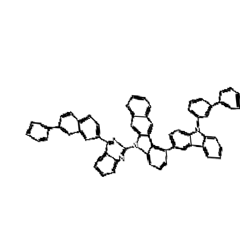 c1ccc(-c2cccc(-n3c4ccccc4c4cc(-c5cccc6c5c5cc7ccccc7cc5n6-c5nc(-c6ccc7ccc(-c8ccccc8)cc7c6)c6ccccc6n5)ccc43)c2)cc1